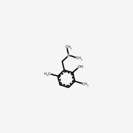 Cc1ccc(C)c(CN(C)C)c1O